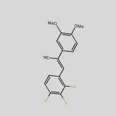 COc1ccc(/C(C#N)=C/c2ccc(F)c(F)c2F)cc1OC